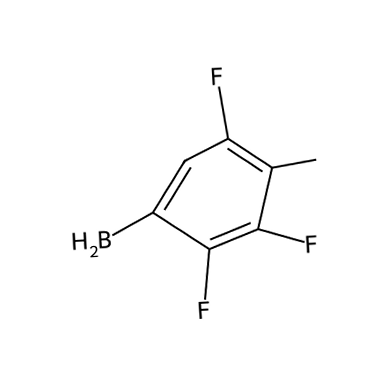 Bc1cc(F)c(C)c(F)c1F